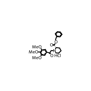 COc1cc(C(=O)CN2CCCC[C@H]2C(=O)OCc2ccccc2)cc(OC)c1OC.Cl